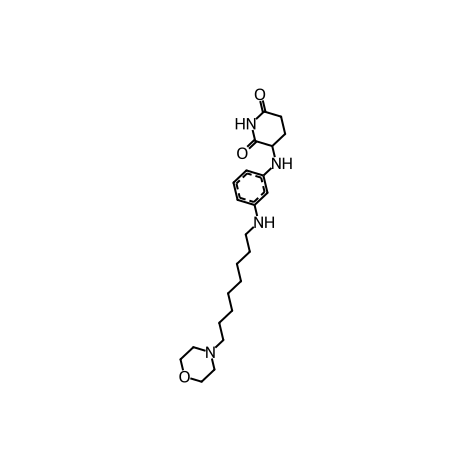 O=C1CCC(Nc2cccc(NCCCCCCCCN3CCOCC3)c2)C(=O)N1